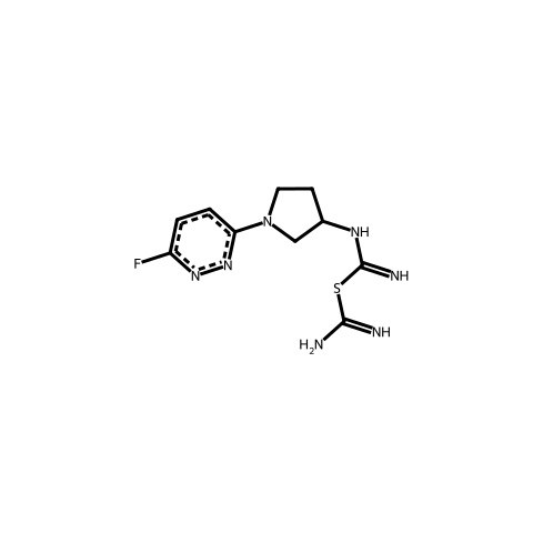 N=C(N)SC(=N)NC1CCN(c2ccc(F)nn2)C1